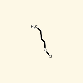 CCCCOCl